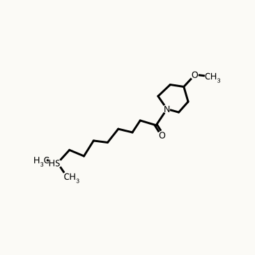 COC1CCN(C(=O)CCCCCCC[SH](C)C)CC1